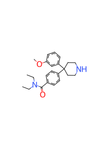 CCN(CC)C(=O)c1ccc(C2(c3cccc(OC)c3)CCNCC2)cc1